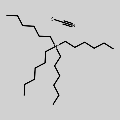 CCCCCC[N+](CCCCCC)(CCCCCC)CCCCCC.N#C[S-]